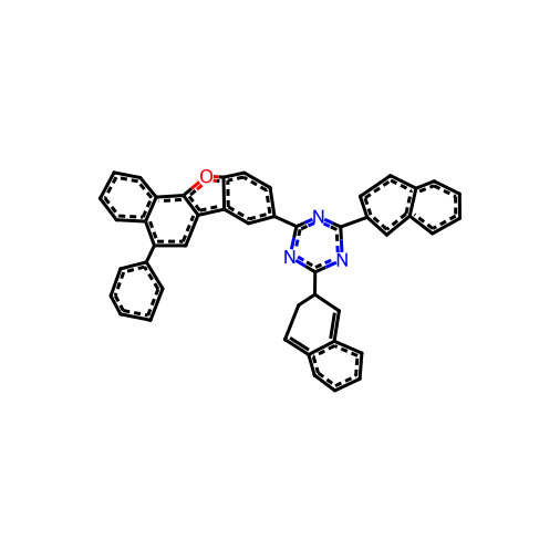 C1=c2ccccc2=CC(c2nc(-c3ccc4ccccc4c3)nc(-c3ccc4oc5c6ccccc6c(-c6ccccc6)cc5c4c3)n2)C1